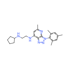 Cc1cc(C)c(-n2nnc3c(NCCNC4CCCC4)cc(C)nc32)c(C)c1